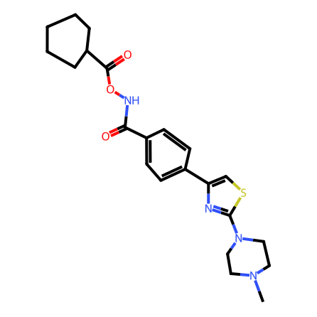 CN1CCN(c2nc(-c3ccc(C(=O)NOC(=O)C4CCCCC4)cc3)cs2)CC1